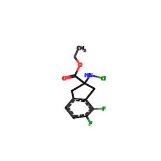 CCOC(=O)C1(NCl)Cc2ccc(F)c(F)c2C1